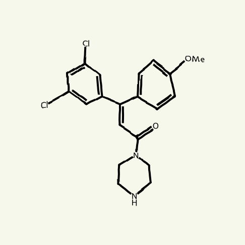 COc1ccc(/C(=C\C(=O)N2CCNCC2)c2cc(Cl)cc(Cl)c2)cc1